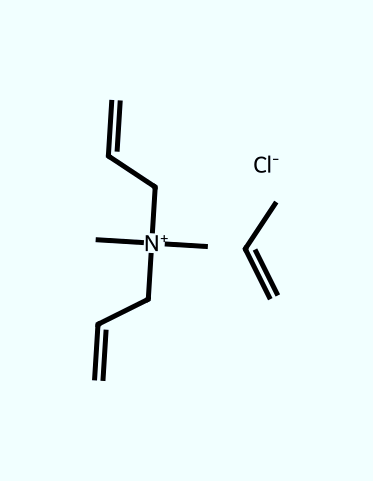 C=CC.C=CC[N+](C)(C)CC=C.[Cl-]